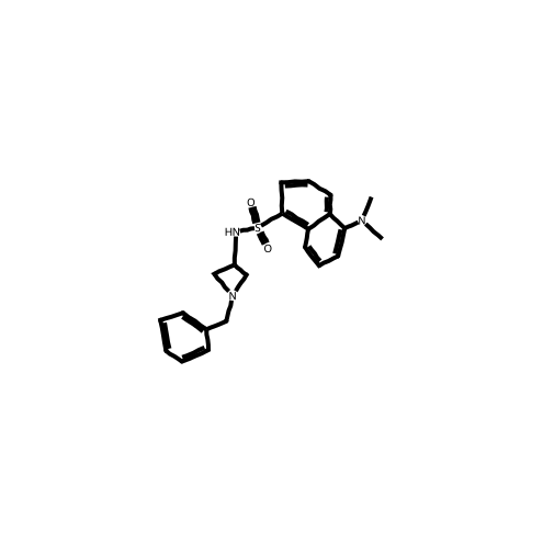 CN(C)c1cccc2c(S(=O)(=O)NC3CN(Cc4ccccc4)C3)cccc12